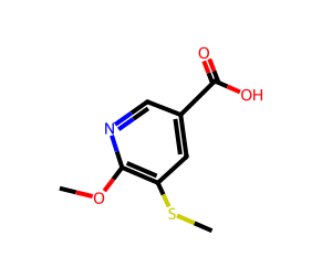 COc1ncc(C(=O)O)cc1SC